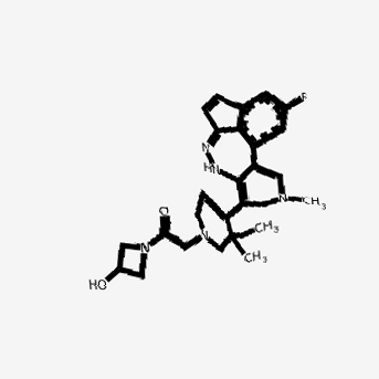 CN1C=C2C(=C(C3=CCN(CC(=O)N4CC(O)C4)CC3(C)C)C1)NN=C1C=Cc3cc(F)cc2c31